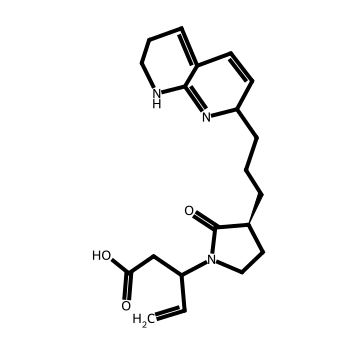 C=CC(CC(=O)O)N1CC[C@H](CCCC2C=CC3=CCCNC3=N2)C1=O